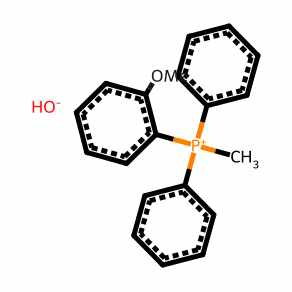 COc1ccccc1[P+](C)(c1ccccc1)c1ccccc1.[OH-]